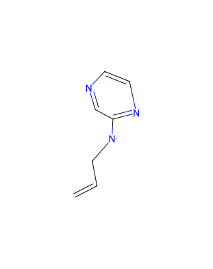 C=CC[N]c1cnccn1